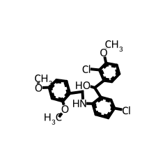 COc1ccc(CNc2ccc(Cl)cc2C(O)c2cccc(OC)c2Cl)c(OC)c1